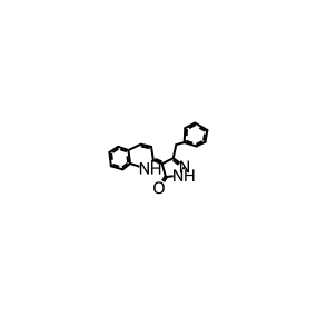 O=C1NN=C(Cc2ccccc2)C1=C1C=Cc2ccccc2N1